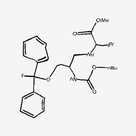 CCCCOC(=O)NC(CNC(C(=O)OC)C(C)C)COC(F)(c1ccccc1)c1ccccc1